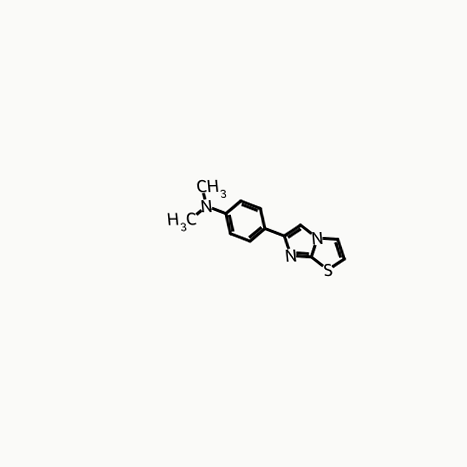 CN(C)c1ccc(-c2cn3ccsc3n2)cc1